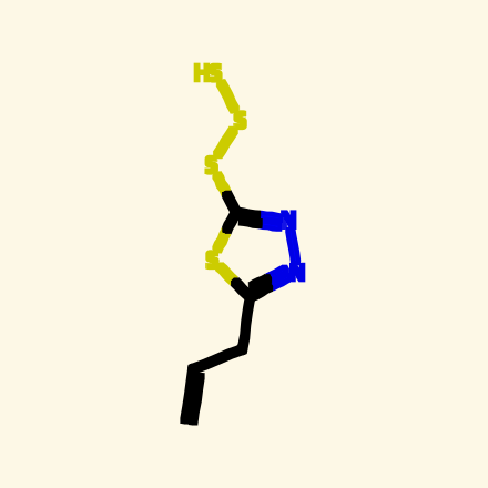 C=CCc1nnc(SSS)s1